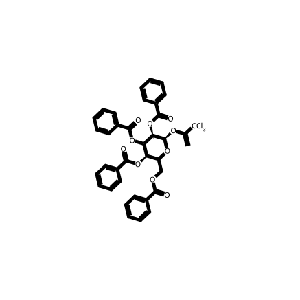 C=C(O[C@H]1OC(COC(=O)c2ccccc2)[C@@H](OC(=O)c2ccccc2)C(OC(=O)c2ccccc2)[C@H]1OC(=O)c1ccccc1)C(Cl)(Cl)Cl